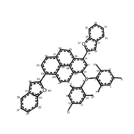 Cc1cc(C)c(B(c2c(C)cc(C)cc2C)c2cc(-c3cc4ccccc4o3)c3ccc4ccc(-c5cc6ccccc6o5)c5ccc2c3c45)c(C)c1